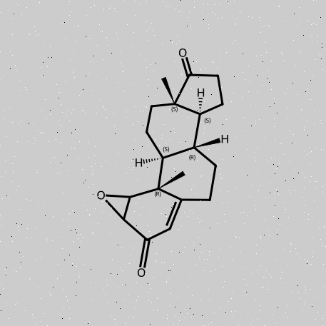 C[C@]12CC[C@H]3[C@@H](CCC4=CC(=O)C5OC5[C@@]43C)[C@@H]1CCC2=O